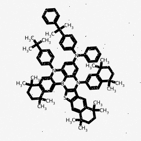 CC(C)(C)c1ccc(N2c3cc4c(cc3B3c5sc6cc7c(cc6c5N(c5ccc6c(c5)C(C)(C)CCC6(C)C)c5cc(N(c6ccccc6)c6ccc(C(C)(C)c8ccccc8)cc6)cc2c53)C(C)(C)CCC7(C)C)C(C)(C)CCC4(C)C)cc1